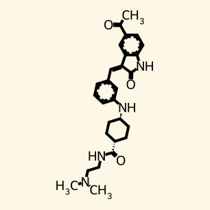 CC(=O)c1ccc2c(c1)C(=Cc1cccc(N[C@H]3CC[C@@H](C(=O)NCCN(C)C)CC3)c1)C(=O)N2